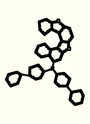 c1ccc(-c2ccc(N(c3ccc(-c4ccccc4)cc3)c3cc4oc5ccc6oc7ccccc7c6c5c4c4ccccc34)cc2)cc1